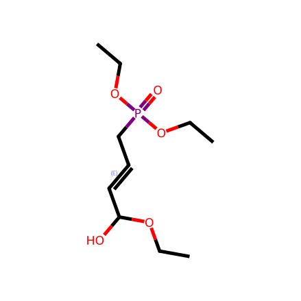 CCOC(O)/C=C/CP(=O)(OCC)OCC